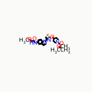 COCC(=O)Nc1ccc2c(ccn2-c2csc(OC3CCN(C(=O)OC(C)(C)C)CC3)n2)c1